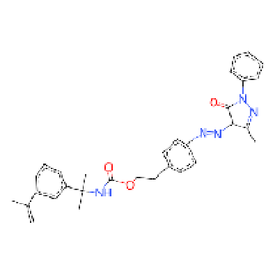 C=C(C)c1cccc(C(C)(C)NC(=O)OCCc2ccc(/N=N/C3C(=O)N(c4ccccc4)N=C3C)cc2)c1